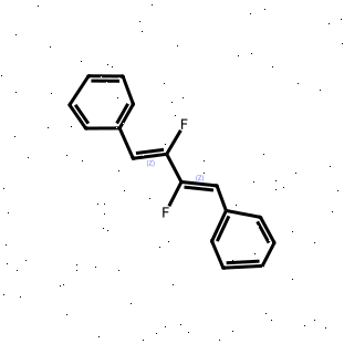 FC(=C\c1ccccc1)/C(F)=C/c1ccccc1